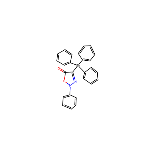 O=c1on(-c2ccccc2)n[c]1[Sn]([c]1ccccc1)([c]1ccccc1)[c]1ccccc1